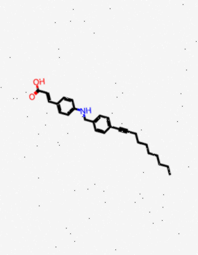 CCCCCCCCC#Cc1ccc(CNc2ccc(C=CC(=O)O)cc2)cc1